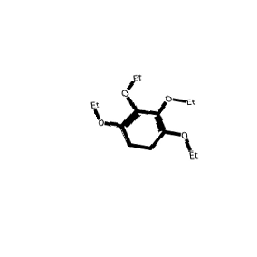 CCOC1=C(OCC)C(OCC)=C(OCC)CC1